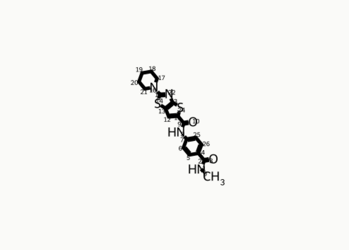 CNC(=O)c1ccc(NC(=O)c2cc3sc(N4CCCCC4)nc3s2)cc1